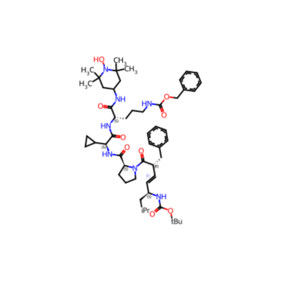 CC(C)C[C@@H](/C=C/[C@@H](Cc1ccccc1)C(=O)N1CCC[C@H]1C(=O)N[C@H](C(=O)N[C@@H](CCCNC(=O)OCc1ccccc1)C(=O)NC1CC(C)(C)N(O)C(C)(C)C1)C1CC1)NC(=O)OC(C)(C)C